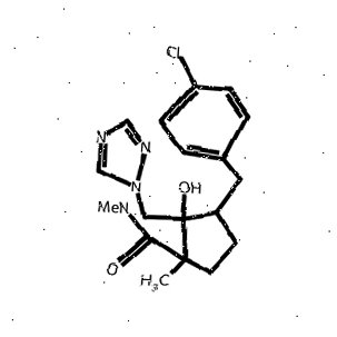 CNC(=O)C1(C)CCC(Cc2ccc(Cl)cc2)C1(O)Cn1cncn1